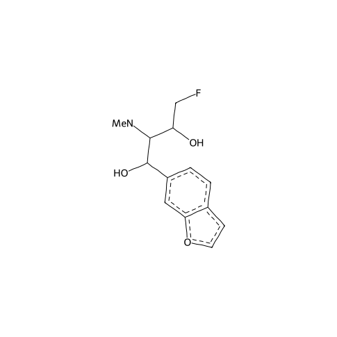 CNC(C(O)CF)C(O)c1ccc2ccoc2c1